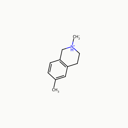 [CH2-][NH+]1CCc2cc(C)ccc2C1